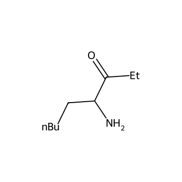 CCCCCC(N)C(=O)CC